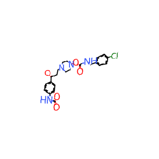 O=C(NCc1ccc(Cl)cc1)ON1CCN(CCC(=O)c2ccc3[nH]c(=O)oc3c2)CC1